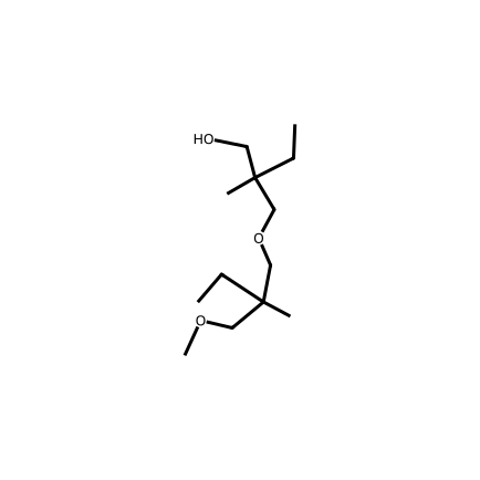 CCC(C)(CO)COCC(C)(CC)COC